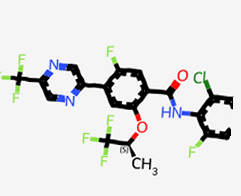 C[C@H](Oc1cc(-c2cnc(C(F)(F)F)cn2)c(F)cc1C(=O)Nc1c(F)cccc1Cl)C(F)(F)F